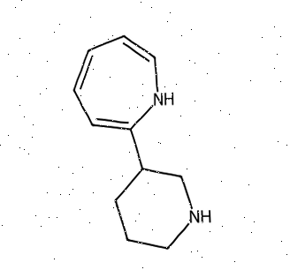 C1=CC=C(C2CCCNC2)NC=C1